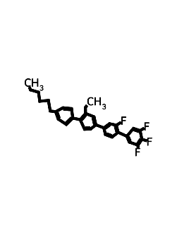 CCCCCCc1ccc(-c2ccc(-c3ccc(-c4cc(F)c(F)c(F)c4)c(F)c3)cc2CC)cc1